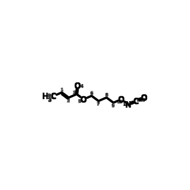 CC=CC(=O)OCCCCON=C=O